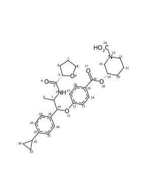 CC(NC(=O)[C@@H]1CCCO1)C(Oc1ccc(C(=O)O[C@H]2CCCN(C(=O)O)C2)cc1)c1ccc(C2CC2)cc1